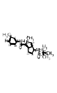 Cc1cc(NC(=O)c2c3c(cn2C)C(N[S+]([O-])C(C)(C)C)CC3)ccc1F